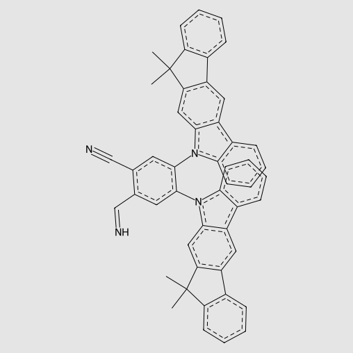 CC1(C)c2ccccc2-c2cc3c4ccccc4n(-c4cc(C#N)c(C=N)cc4-n4c5ccccc5c5cc6c(cc54)C(C)(C)c4ccccc4-6)c3cc21